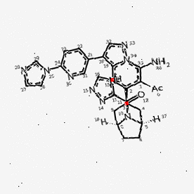 CC(=O)c1c([C@H]2C[C@H]3CC[C@@H](C2)N3C(=O)c2nnc[nH]2)nc2c(-c3ccc(-n4ccnc4)nc3)cnn2c1N